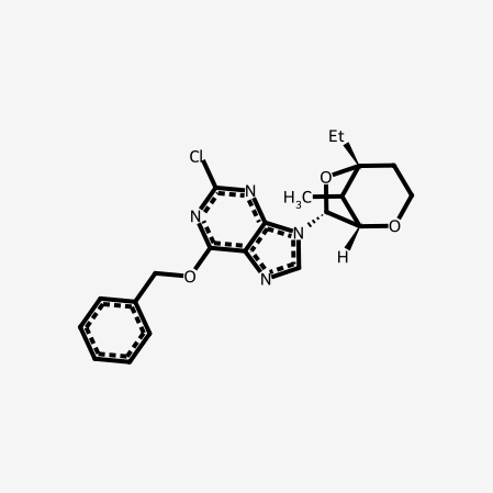 CC[C@@]12CCO[C@@H](C1C)[C@H](n1cnc3c(OCc4ccccc4)nc(Cl)nc31)O2